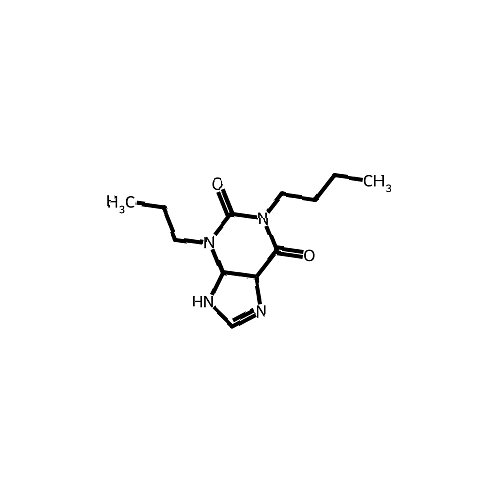 CCCCN1C(=O)C2N=CNC2N(CCC)C1=O